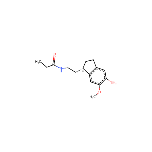 Bc1cc2c(cc1OC)[C@H](CCNC(=O)CC)CC2